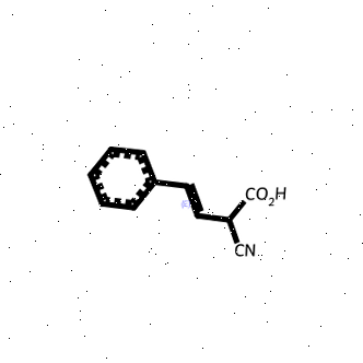 N#CC(/C=C/c1ccccc1)C(=O)O